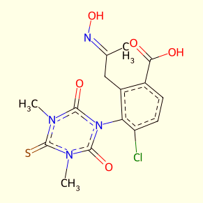 CC(Cc1c(C(=O)O)ccc(Cl)c1-n1c(=O)n(C)c(=S)n(C)c1=O)=NO